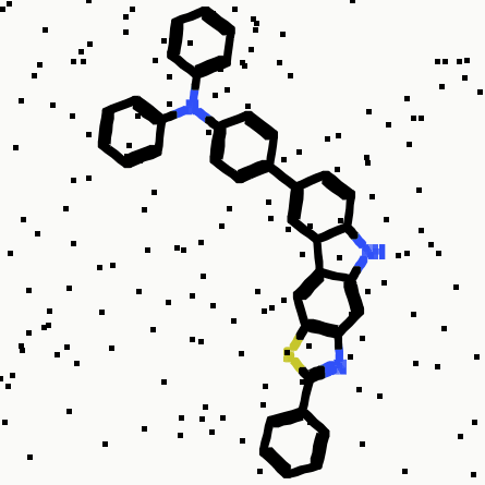 C1=CC2Nc3cc4nc(-c5ccccc5)sc4cc3C2C=C1c1ccc(N(c2ccccc2)c2ccccc2)cc1